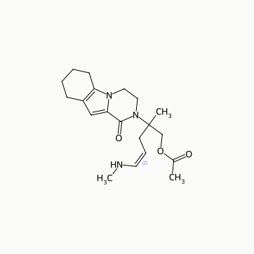 CN/C=C\CC(C)(COC(C)=O)N1CCn2c(cc3c2CCCC3)C1=O